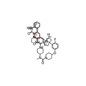 CN(C(=O)N1CCC(Oc2ccc(F)c(C34C[C@H]5CC3[C@H](CN(c3cc(-c6ccccc6O)nnc3N)C5)C4)c2)CC1)C1CCN(c2cccc3c2OCCN3[C@H]2CCC(=O)NC2=O)CC1